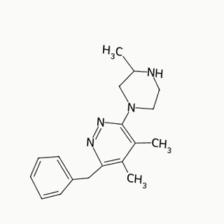 Cc1c(Cc2ccccc2)nnc(N2CCNC(C)C2)c1C